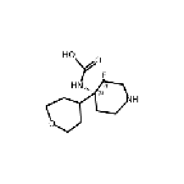 O=C(O)N[C@@]1(C2CCOCC2)CCNC[C@@H]1F